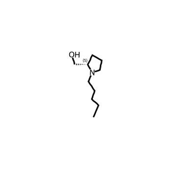 CCCCCN1CCC[C@H]1CO